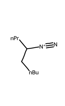 CCCCCC(CCC)[N+]#N